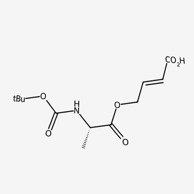 C[C@H](NC(=O)OC(C)(C)C)C(=O)OC/C=C/C(=O)O